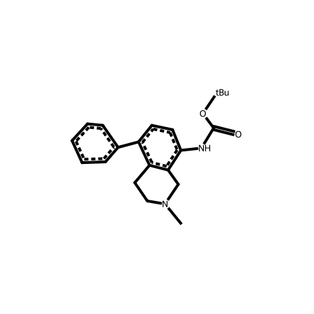 CN1CCc2c(-c3ccccc3)ccc(NC(=O)OC(C)(C)C)c2C1